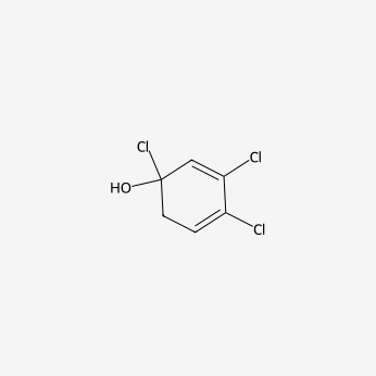 OC1(Cl)C=C(Cl)C(Cl)=CC1